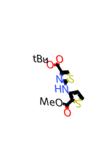 COC(=O)c1sccc1Nc1nc(C(=O)OC(C)(C)C)cs1